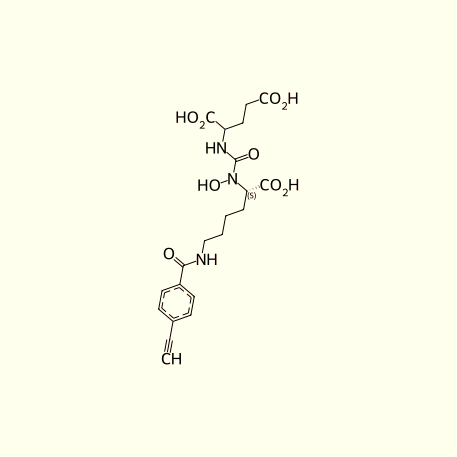 C#Cc1ccc(C(=O)NCCCC[C@@H](C(=O)O)N(O)C(=O)NC(CCC(=O)O)C(=O)O)cc1